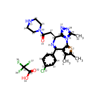 Cc1sc2c(c1C)C(c1ccc(Cl)cc1)=N[C@@H](CC(=O)N1CCNCC1)c1nnc(C)n1-2.O=C(O)C(F)(F)F